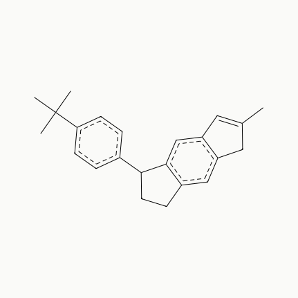 CC1=Cc2cc3c(cc2C1)CCC3c1ccc(C(C)(C)C)cc1